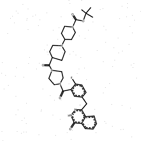 CC(C)(C)OC(=O)N1CCC(N2CCC(C(=O)N3CCN(C(=O)c4cc(Cc5n[nH]c(=O)c6ccccc56)ccc4F)CC3)CC2)CC1